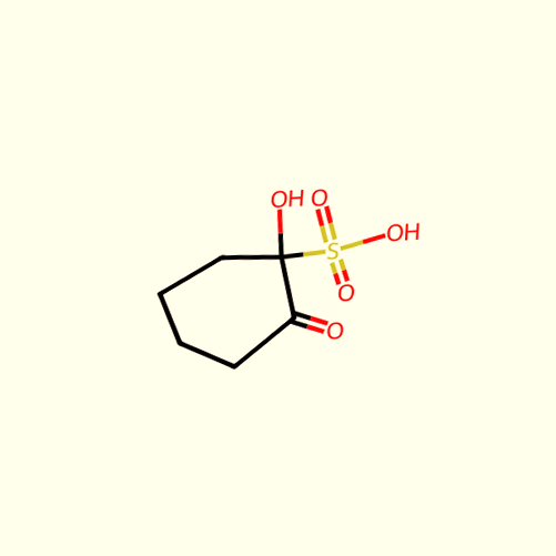 O=C1CCCCC1(O)S(=O)(=O)O